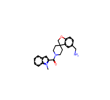 Cn1c(C(=O)N2CCC3(CC2)COc2ccc(CN)cc23)cc2ccccc21